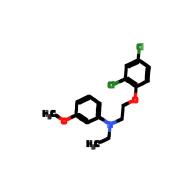 CCN(CCOc1ccc(Cl)cc1Cl)c1cccc(OC)c1